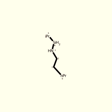 CCCCCN[SiH2]C(C)C